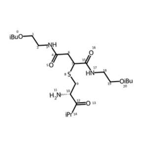 CC(C)COCCNC(=O)CC(SC[C@@H](N)C(=O)C(C)C)C(=O)NCCOCC(C)C